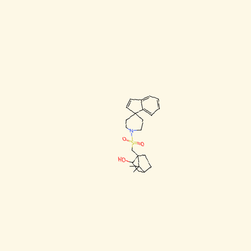 CC1(C)C2CCC1(CS(=O)(=O)N1CCC3(C=Cc4ccccc43)CC1)C(O)C2